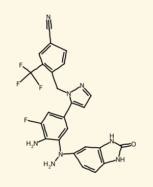 N#Cc1ccc(Cn2nccc2-c2cc(F)c(N)c(N(N)c3ccc4[nH]c(=O)[nH]c4c3)c2)c(C(F)(F)F)c1